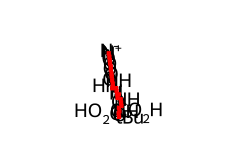 CC(C)(C)OC(=O)N[C@@H](C[C@H](CCCC(=O)Nc1ccc(N=Nc2ccc(NCCNC(=O)CCOCCOCCOCCOCCN=[N+]=[N-])cc2)cc1)C(=O)O)C(=O)O